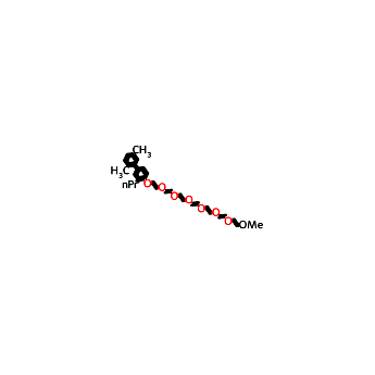 CCCc1cc(-c2cc(C)ccc2C)ccc1OCCOCCOCCOCCOCCOCCOCCOC